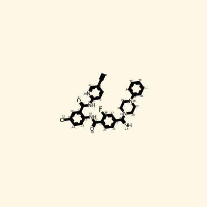 C#Cc1ccc(NC(=O)c2cc(Cl)ccc2NC(=O)c2ccc(C(=N)N3CCN(c4ccccc4)CC3)cc2F)nc1